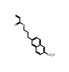 C=CC(=O)OCCCc1ccc2cc(C(=O)O)ccc2c1